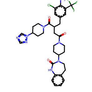 Nc1c(Cl)cc(CC(CC(=O)N2CCC(N3CCc4ccccc4NC3=O)CC2)C(=O)N2CCC(n3cncn3)CC2)cc1C(F)(F)F